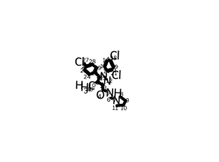 CC1C(C(=O)NCN2CCCC2)=NN(c2ccc(Cl)cc2Cl)C1c1ccc(Cl)cc1.I